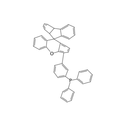 C1=CC2c3ccccc3C3(c4ccccc4Oc4c(-c5cccc(P(c6ccccc6)c6ccccc6)c5)cccc43)C2C=C1